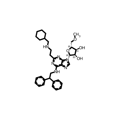 COC[C@H]1O[C@@H](n2cnc3c(NCC(c4ccccc4)c4ccccc4)nc(CCNCC4CCCCC4)nc32)[C@H](O)[C@@H]1O